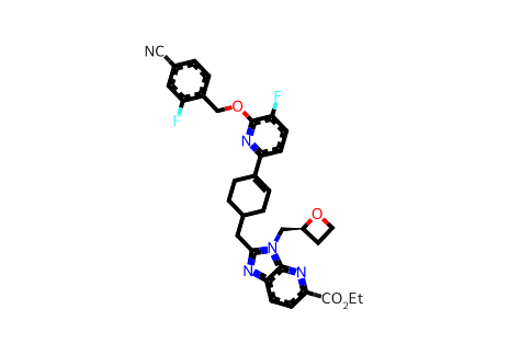 CCOC(=O)c1ccc2nc(CC3CC=C(c4ccc(F)c(OCc5ccc(C#N)cc5F)n4)CC3)n(C[C@@H]3CCO3)c2n1